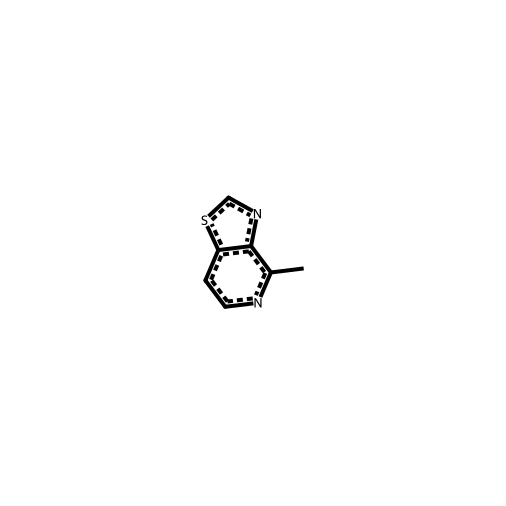 Cc1nccc2scnc12